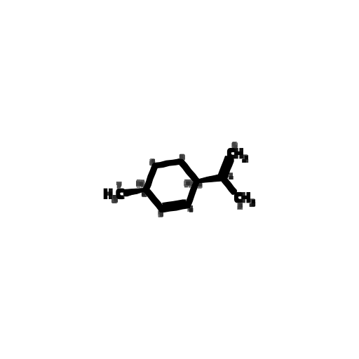 C=C(C)[C@H]1C=C[C@@H](C)CC1